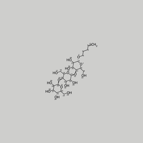 C=CCCCO[C@@H]1OC(CO)[C@@H](O[C@@H]2OC(CO)[C@H](O[C@H]3OC(CO)[C@H](O)C(O)C3O)C(O)C2O)C(O)C1O